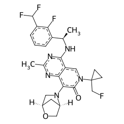 Cc1nc(N[C@H](C)c2cccc(C(F)F)c2F)c2cn(C3(CF)CC3)c(=O)c(N3C[C@H]4C[C@@H]3CO4)c2n1